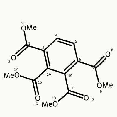 COC(=O)c1ccc(C(=O)OC)c(C(=O)OC)c1C(=O)OC